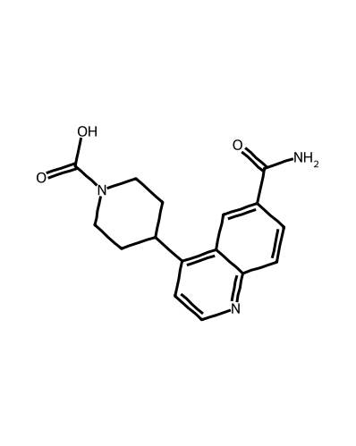 NC(=O)c1ccc2nccc(C3CCN(C(=O)O)CC3)c2c1